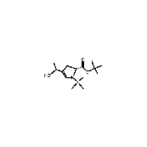 CC(O)C1=CN([Si](C)(C)C)[C@@H](C(=O)OC(C)(C)C)C1